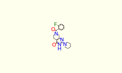 O=C(c1ccccc1F)N1CCc2c(nc(N3CCCCC3)[nH]c2=O)C1